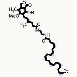 CC/C=C\C/C=C\C/C=C\C/C=C\C/C=C\C/C=C\CCC(=O)NCCNC(=O)CC/C(C)=C/Cc1c(O)c2c(c(C)c1OC)COC2=O